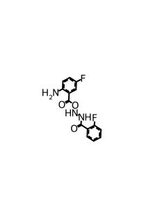 Nc1ccc(F)cc1C(=O)ONNC(=O)c1ccccc1F